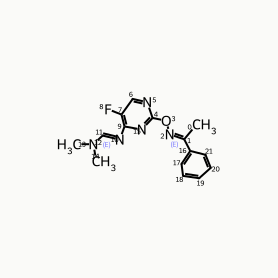 C/C(=N\Oc1ncc(F)c(/N=C/N(C)C)n1)c1ccccc1